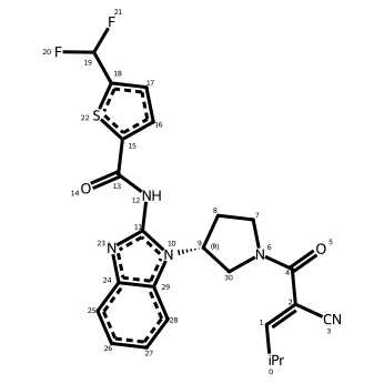 CC(C)C=C(C#N)C(=O)N1CC[C@@H](n2c(NC(=O)c3ccc(C(F)F)s3)nc3ccccc32)C1